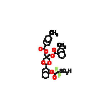 CC1C=C2CC(C1)CC(C(=O)OCC1(COC(=O)C34CCCC(CC(C)C3)C4)COC(C3CC4CCCC(OC(=O)C(F)(F)S(=O)(=O)O)(C4)C3)OC1)C2